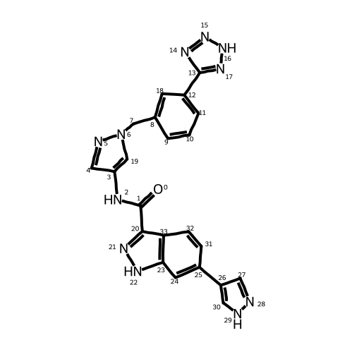 O=C(Nc1cnn(Cc2cccc(-c3nn[nH]n3)c2)c1)c1n[nH]c2cc(-c3cn[nH]c3)ccc12